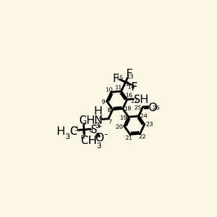 CC(C)(C)[S+]([O-])NCc1ccc(C(F)(F)F)c(S)c1-c1ccccc1C=O